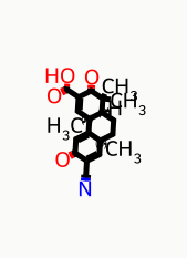 CC1(C)C(=O)C(C(=O)O)=C[C@]2(C)C3=CC(=O)C(C#N)=C[C@]3(C)CC[C@@H]12